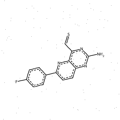 Nc1nc(C=S)c2nc(-c3ccc(F)cc3)ccc2n1